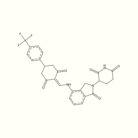 O=C1CCC(N2Cc3c(NC=C4C(=O)CC(c5ccc(C(F)(F)F)cc5)CC4=O)cccc3C2=O)C(=O)N1